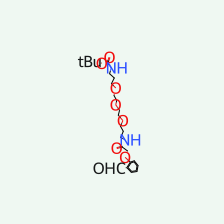 CC(C)(C)OC(=O)NCCCOCCOCCOCCCNC(=O)COc1ccccc1C=O